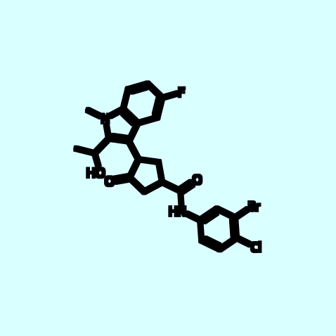 CC(O)c1c(C2CC(C(=O)Nc3ccc(Cl)c(Br)c3)CC2=O)c2cc(F)ccc2n1C